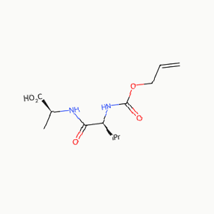 C=CCOC(=O)N[C@H](C(=O)N[C@@H](C)C(=O)O)C(C)C